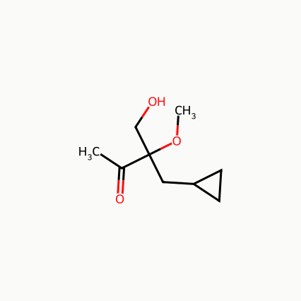 COC(CO)(CC1CC1)C(C)=O